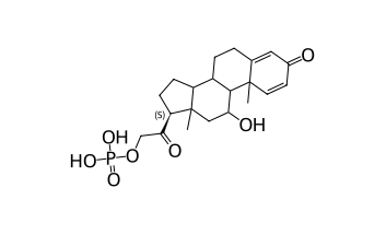 CC12C=CC(=O)C=C1CCC1C2C(O)CC2(C)C1CC[C@@H]2C(=O)COP(=O)(O)O